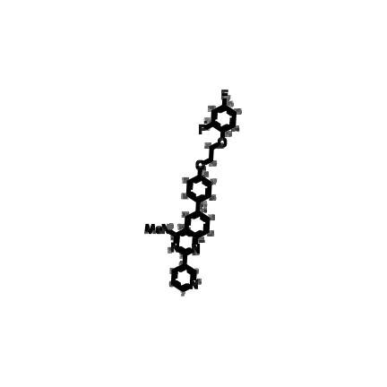 CNc1nc(-c2cccnc2)nc2ccc(-c3ccc(OCCOc4ccc(F)cc4F)cc3)cc12